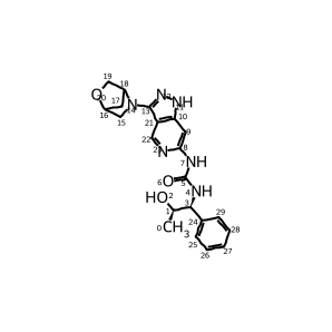 C[C@@H](O)[C@@H](NC(=O)Nc1cc2[nH]nc(N3CC4CC3CO4)c2cn1)c1ccccc1